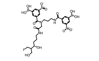 O=C(CN(CCCNC(=O)c1cc(B(O)O)cc([N+](=O)[O-])c1)C(=O)c1cc(B(O)O)cc([N+](=O)[O-])c1)NCCC[C@@H](O)C(CO)CF